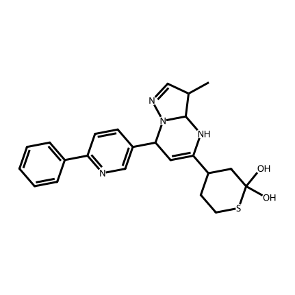 CC1C=NN2C(c3ccc(-c4ccccc4)nc3)C=C(C3CCSC(O)(O)C3)NC12